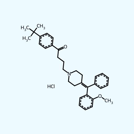 COc1ccccc1C(=C1CCN(CCCC(=O)c2ccc(C(C)(C)C)cc2)CC1)c1ccccc1.Cl